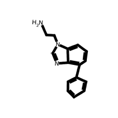 NCCn1[c]nc2c(-c3ccccc3)cccc21